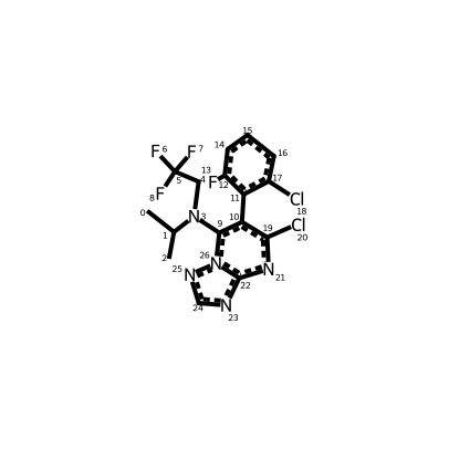 CC(C)N(CC(F)(F)F)c1c(-c2c(F)cccc2Cl)c(Cl)nc2ncnn12